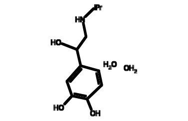 CC(C)NCC(O)c1ccc(O)c(O)c1.O.O